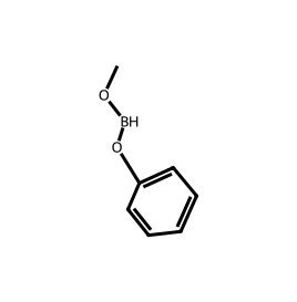 COBOc1ccccc1